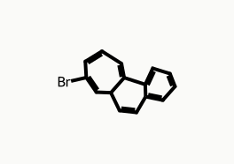 BrC1=CC2C=Cc3ccccc3C2=CC=C1